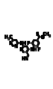 COC(=S)c1cc(F)c(Nc2cc(Nc3cc(C)ncn3)ncc2C=N)c(F)c1